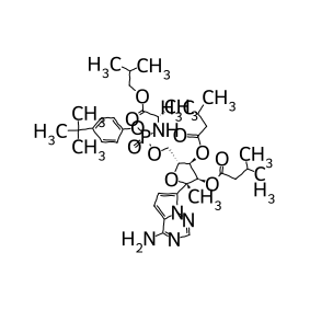 CC(C)COC(=O)[C@H](C)NP(=O)(OC[C@H]1O[C@@](C)(c2ccc3c(N)ncnn23)[C@H](OC(=O)CC(C)C)[C@@H]1OC(=O)CC(C)C)Oc1ccc(C(C)(C)C)cc1